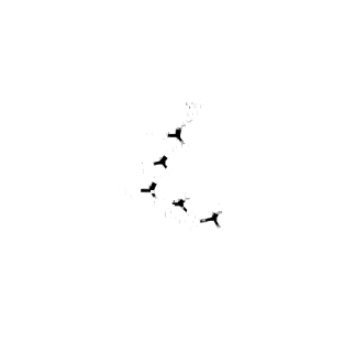 CC(=O)[O-].CC(=O)[O-].CC(=O)[O-].CC(=O)[O-].CC(=O)[O-].[Al+3].[Mn+2]